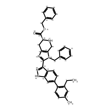 CCc1cc(C)ccc1-c1ccc2c(-c3nc4c(n3Cc3ccccc3)CN[C@H](C(=O)OCc3ccccc3)C4)n[nH]c2c1